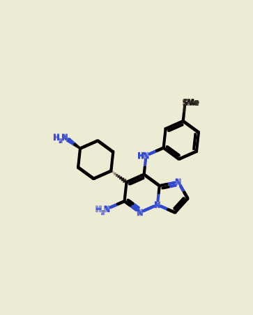 CSc1cccc(Nc2c3nccn3nc(N)c2[C@H]2CC[C@H](N)CC2)c1